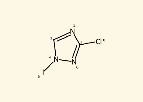 Clc1ncn(I)n1